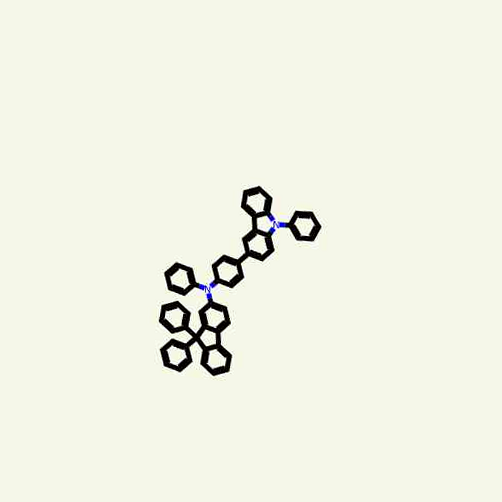 C1=CC(N(c2ccccc2)c2ccc3c(c2)C(c2ccccc2)(c2ccccc2)c2ccccc2-3)CC=C1c1ccc2c(c1)c1ccccc1n2-c1ccccc1